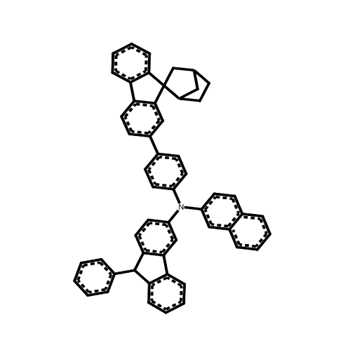 c1ccc(C2c3ccccc3-c3cc(N(c4ccc(-c5ccc6c(c5)C5(CC7CCC5C7)c5ccccc5-6)cc4)c4ccc5ccccc5c4)ccc32)cc1